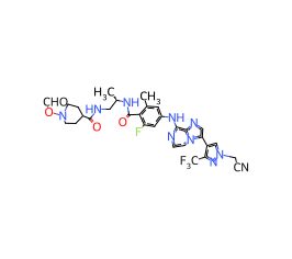 Cc1cc(Nc2nccn3c(-c4cn(CC#N)nc4C(F)(F)F)cnc23)cc(F)c1C(=O)N[C@H](C)CNC(=O)C1CCN(OC=O)CC1